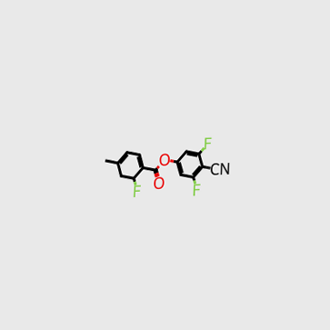 CC1=CC=C(C(=O)Oc2cc(F)c(C#N)c(F)c2)C(F)C1